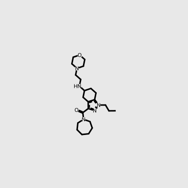 CCCn1nc(C(=O)N2CCCCCC2)c2c1CCC(NCCN1CCOCC1)C2